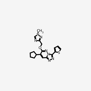 Cn1cnc(COc2nn3c(-c4cccs4)nnc3cc2C2CCCC2)n1